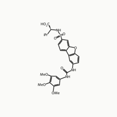 COc1cc(NC(=O)Nc2ccc3oc4cc(S(=O)(=O)N[C@H](C(=O)O)C(C)C)ccc4c3c2)cc(OC)c1OC